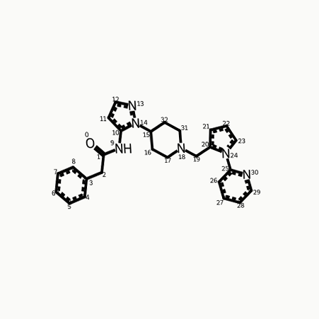 O=C(Cc1ccccc1)Nc1ccnn1C1CCN(Cc2cccn2-c2ccccn2)CC1